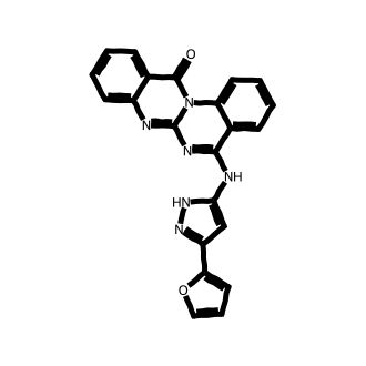 O=c1c2ccccc2nc2nc(Nc3cc(-c4ccco4)n[nH]3)c3ccccc3n12